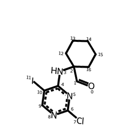 O=CC1(Nc2nc(Cl)ncc2I)CCCCC1